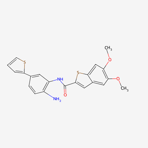 COc1cc2cc(C(=O)Nc3cc(-c4cccs4)ccc3N)sc2cc1OC